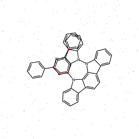 c1ccc(-c2cc(-n3c4ccccc4c4ccc5c6ccccc6n(-n6c7ccccc7c7ccccc76)c5c43)cc(-c3ccccc3)n2)cc1